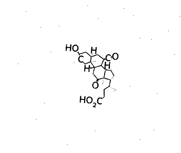 C[C@H](CCC(=O)O)[C@H]1CC[C@H]2C3C(=C=O)C[C@@H]4C[C@H](O)CC[C@]4(C)[C@H]3CC(=O)[C@]12C